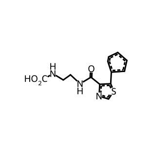 O=C(O)NCCNC(=O)c1ncsc1-c1ccccc1